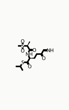 CC(C)SC(=O)[C@H](CCC(=O)C=N)NC(=O)[C@H](C)S(C)(=O)=O